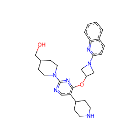 OCC1CCN(c2ncc(C3CCNCC3)c(OC3CN(c4ccc5ccccc5n4)C3)n2)CC1